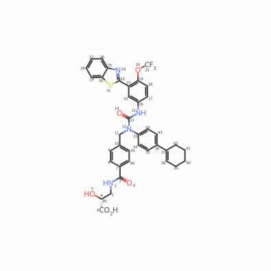 O=C(NC[C@@H](O)C(=O)O)c1ccc(CN(C(=O)Nc2ccc(OC(F)(F)F)c(-c3nc4ccccc4s3)c2)c2ccc(C3=CCCCC3)cc2)cc1